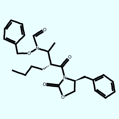 CCCC[C@@H](C(=O)N1C(=O)OC[C@@H]1Cc1ccccc1)C(C)N(C=O)OCc1ccccc1